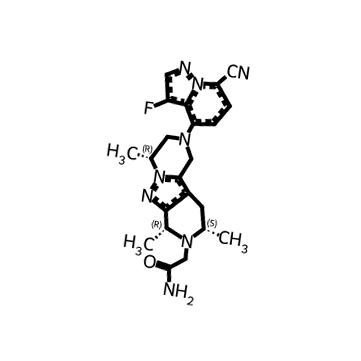 C[C@@H]1c2nn3c(c2C[C@H](C)N1CC(N)=O)CN(c1ccc(C#N)n2ncc(F)c12)C[C@H]3C